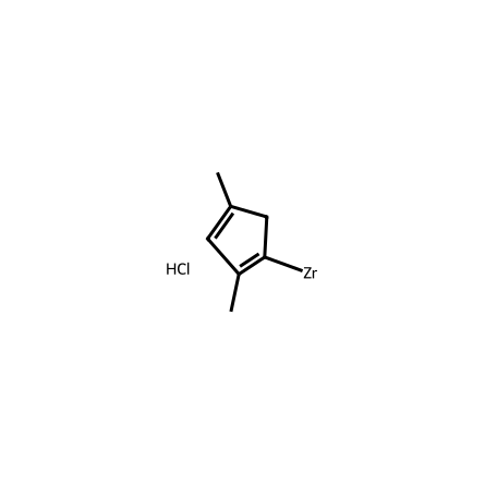 CC1=CC(C)=[C]([Zr])C1.Cl